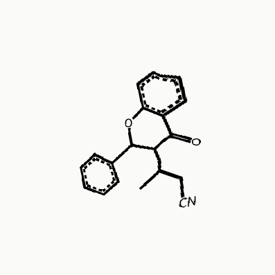 CC(CC#N)C1C(=O)c2ccccc2OC1c1ccccc1